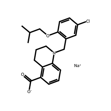 CC(C)COc1ccc(Cl)cc1CN1CCCc2c(C(=O)[O-])cccc21.[Na+]